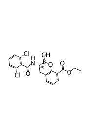 CCOC(=O)c1cccc2c1OB(O)[C@@H](NC(=O)c1c(Cl)cccc1Cl)C2